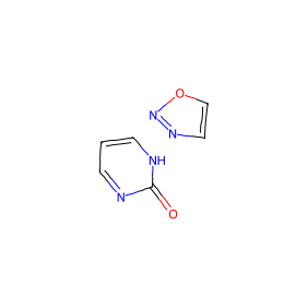 O=c1nccc[nH]1.c1conn1